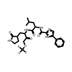 CC(C)CC(NC(=O)c1ncc(-c2ccccc2)[nH]1)C(=O)NC(CC1CCNC1=O)C(=O)COC(F)(F)F